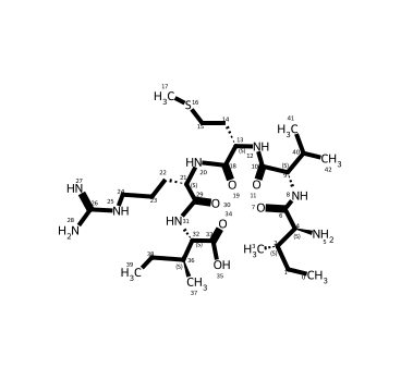 CC[C@H](C)[C@H](N)C(=O)N[C@H](C(=O)N[C@@H](CCSC)C(=O)N[C@@H](CCCNC(=N)N)C(=O)N[C@H](C(=O)O)[C@@H](C)CC)C(C)C